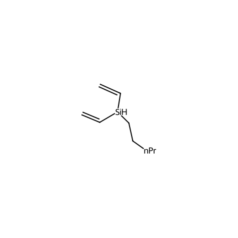 C=C[SiH](C=C)CCCCC